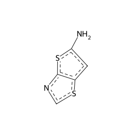 Nc1cc2scnc2s1